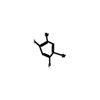 Fc1cc(I)c(Br)cc1Br